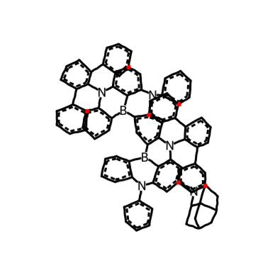 c1ccc(-c2cccc(-c3ccccc3)c2N2c3ccccc3B3c4cc5c(cc4N(c4ccccc4)c4cccc2c43)N(c2c(-c3ccccc3)cccc2-c2ccccc2)c2cc(N3C4CC6CC(C4)CC3C6)cc3c2B5c2ccccc2N3c2ccccc2)cc1